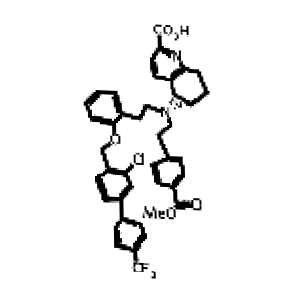 COC(=O)c1ccc(CCN(CCc2ccccc2OCc2ccc(-c3ccc(C(F)(F)F)cc3)cc2Cl)[C@H]2CCCc3nc(C(=O)O)ccc32)cc1